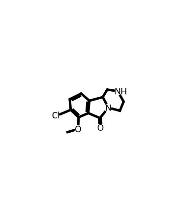 COc1c(Cl)ccc2c1C(=O)N1CCNCC21